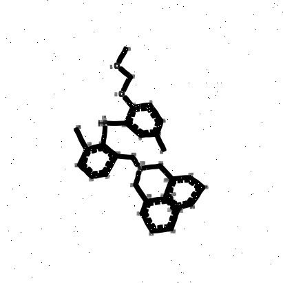 COCOc1ccc(C)cc1Pc1c(C)cccc1CN(Cc1ccccc1)Cc1ccccc1